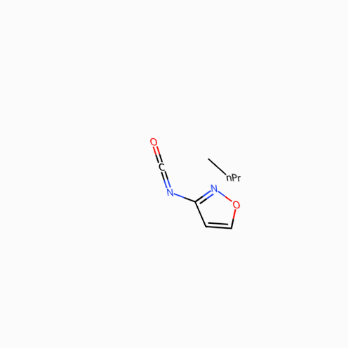 CCCC.O=C=Nc1ccon1